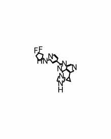 FC1(F)CCC(Nc2cc(-c3nc(N4CCNCC4)c4c(C5CC5)cncc4n3)ccn2)C1